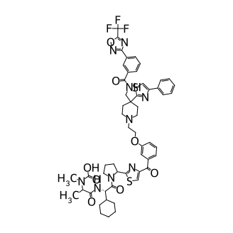 CC(C(=O)N[C@H](C(=O)N1CCCC1c1nc(C(=O)c2cccc(OCCN3CCC(CNC(=O)c4cccc(-c5noc(C(F)(F)F)n5)c4)(c4nc(-c5ccccc5)cs4)CC3)c2)cs1)C1CCCCC1)N(C)C(=O)O